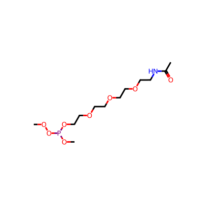 COOP(OC)OCCOCCOCCOCCNC(C)=O